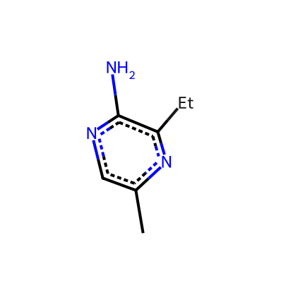 CCc1nc(C)cnc1N